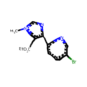 CCOC(=O)c1c(-c2ccc(Br)cn2)ncn1C